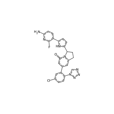 Nc1ccc(-c2ccc(C3CCc4cc(-c5cc(Cl)ccc5-n5cnnn5)cc(=O)n43)[nH]2)c(F)n1